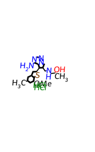 COc1cc(C)cc2cc(-c3c(CNCC(C)O)cn4ncnc(N)c34)sc12.Cl.Cl